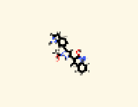 CCC(=O)N1N=C(c2c(C)c3ccccc3[nH]c2=O)CC1c1ccc2ccn(C)c2c1